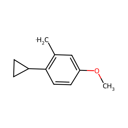 [CH2]c1cc(OC)ccc1C1CC1